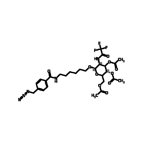 CC(=O)OCC1O[C@@H](OCCCCCCNC(=O)c2ccc(CN=[N+]=[N-])cc2)[C@@H](NC(=O)C(F)(F)F)C(OC(C)=O)[C@@H]1OC(C)=O